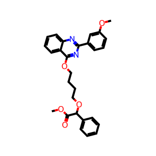 COC(=O)C(OCCCCOc1nc(-c2cccc(OC)c2)nc2ccccc12)c1ccccc1